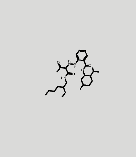 CCCCC(CC)CNC(=O)C(NNc1ccccc1C(=O)OC1CC(C)CCC1C(C)C)C(C)=O